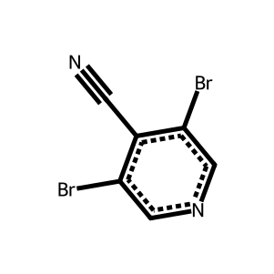 N#Cc1c(Br)cncc1Br